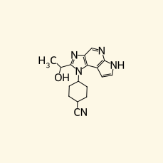 CC(O)c1nc2cnc3[nH]ccc3c2n1C1CCC(C#N)CC1